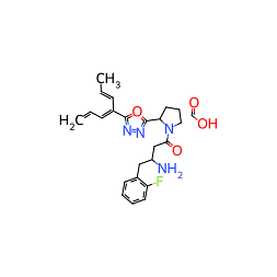 C=CC=C(C=CC)c1nnc(C2CCCN2C(=O)CC(N)Cc2ccccc2F)o1.O=CO